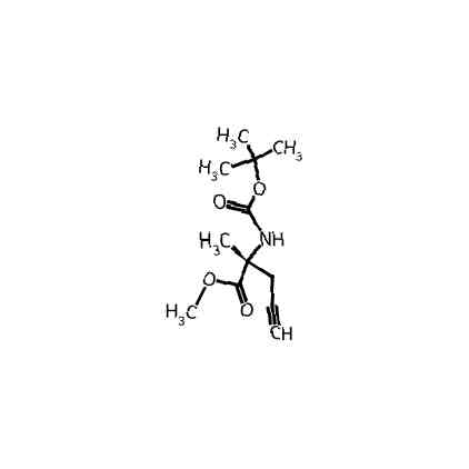 C#CC[C@@](C)(NC(=O)OC(C)(C)C)C(=O)OC